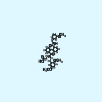 COc1cccc(CNC(=O)c2ccccc2-c2ccccc2C(=O)N(CCC(=O)O)CCc2cc(OC)ccc2OC)c1